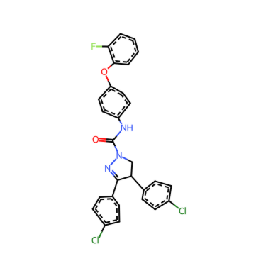 O=C(Nc1ccc(Oc2ccccc2F)cc1)N1CC(c2ccc(Cl)cc2)C(c2ccc(Cl)cc2)=N1